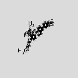 CCCS(=O)(=O)Nc1cc(N2CCc3cc(-c4ccc(OC(F)(F)F)cc4)ccc3C2=O)ccc1OCOCCOC